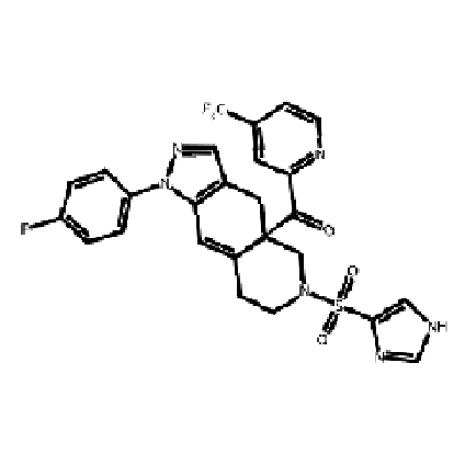 O=C(c1cc(C(F)(F)F)ccn1)[C@]12Cc3cnn(-c4ccc(F)cc4)c3C=C1CCN(S(=O)(=O)c1c[nH]cn1)C2